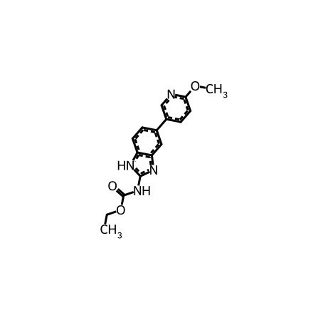 CCOC(=O)Nc1nc2cc(-c3ccc(OC)nc3)ccc2[nH]1